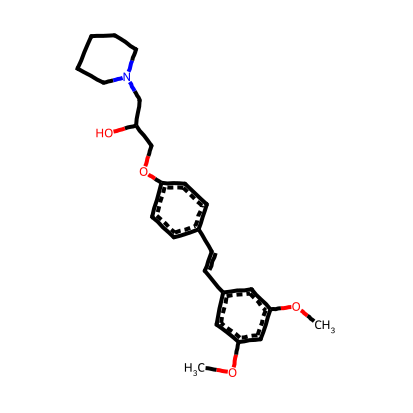 COc1cc(/C=C/c2ccc(OCC(O)CN3CCCCC3)cc2)cc(OC)c1